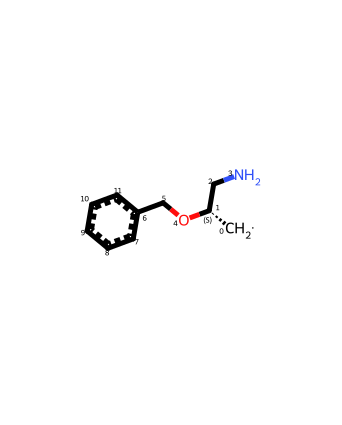 [CH2][C@@H](CN)OCc1ccccc1